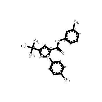 Cc1ccc(-n2nc(C(C)(C)C)cc2C(=O)Nc2cccc(C)c2)cc1